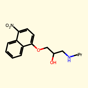 CC(C)NCC(O)COc1ccc([N+](=O)[O-])c2ccccc12